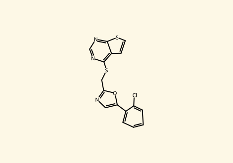 Clc1ccccc1-c1cnc(CSc2ncnc3sccc23)o1